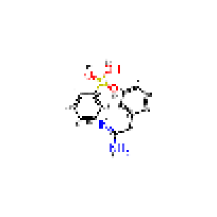 N=C(N)Cc1ccccc1.O=S(=O)(O)c1ccccc1